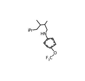 CC(C)CC(C)C(C)CNc1ccc(OC(F)(F)F)cc1